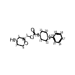 O=C(OC[C@H]1CNCCO1)N1CCN(c2ccccc2)CC1